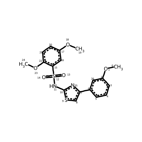 COc1cccc(-c2csc(NS(=O)(=O)c3cc(OC)ccc3OC)n2)c1